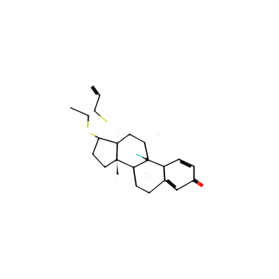 C=CCS[C@@]1(SCC)CC[C@H]2[C@@H]3CCC4=CC(=O)C=C[C@]4(C)C3(F)[C@@H](O)C[C@@]21C